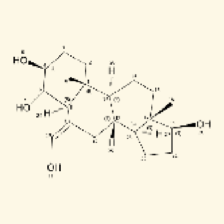 C[C@]12CC[C@H](O)C(O)[C@@H]1C(=CO)C[C@@H]1[C@@H]2CC[C@]2(C)[C@@H](O)CC[C@@H]12